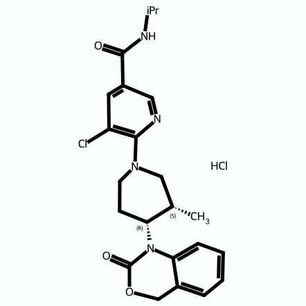 CC(C)NC(=O)c1cnc(N2CC[C@@H](N3C(=O)OCc4ccccc43)[C@@H](C)C2)c(Cl)c1.Cl